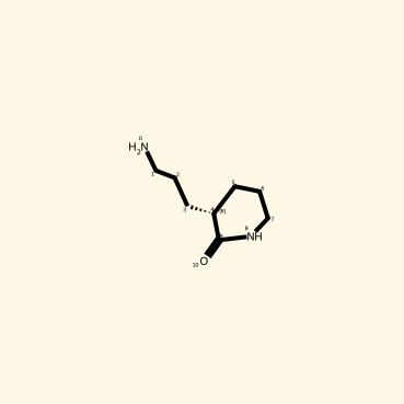 NCCC[C@@H]1CCCNC1=O